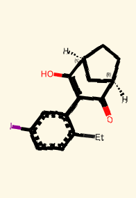 CCc1ccc(I)cc1C1=C(O)[C@H]2CC[C@H](C2)C1=O